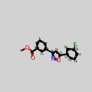 COC(=O)c1cccc(-c2cc(-c3cccc(F)c3)on2)c1